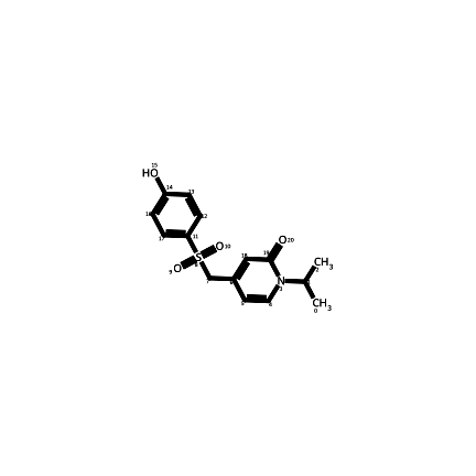 CC(C)n1ccc(CS(=O)(=O)c2ccc(O)cc2)cc1=O